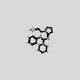 C=CCN1CCC/C1=N/C(=N/c1ccccc1)N1CCCCC1